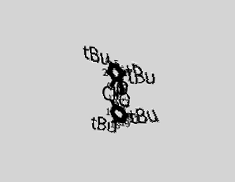 Cc1cc(C(C)(C)C)cc(C(C)(C)C)c1OP(Cl)Oc1c(C)cc(C(C)(C)C)cc1C(C)(C)C